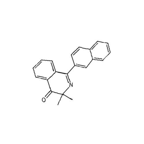 CC1(C)N=C(c2ccc3ccccc3c2)c2ccccc2C1=O